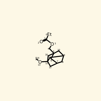 CCC(=O)OCC12CC3CC(C1)CC(OI)(C3)C2